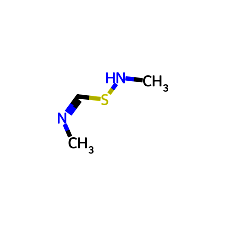 C/N=C\SNC